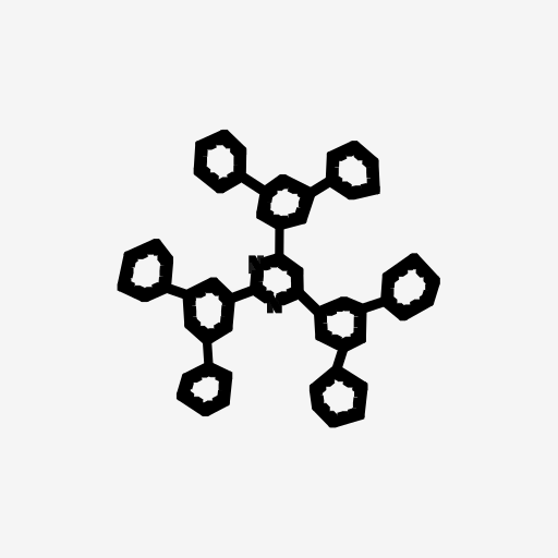 c1ccc(-c2cc(-c3ccccc3)cc(-c3cc(-c4cc(-c5ccccc5)cc(-c5ccccc5)c4)nc(-c4cc(-c5ccccc5)cc(-c5ccccc5)c4)n3)c2)cc1